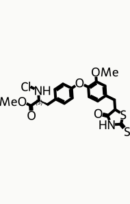 COC(=O)[C@H](Cc1ccc(Oc2ccc(CC3SC(=S)NC3=O)cc2OC)cc1)NCl